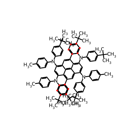 Cc1ccc(N(c2ccc(C(C)(C)C)cc2)c2cc(N(c3ccc(C)cc3)c3ccc(C(C)(C)C)cc3)c3c(-c4ccc(C(C)(C)C)cc4)cc4c(N(c5ccc(C)cc5)c5ccc(C(C)(C)C)cc5)cc(N(c5ccc(C)cc5)c5ccc(C(C)(C)C)cc5)c5c(-c6ccc(C(C)(C)C)cc6)cc2c3c45)cc1